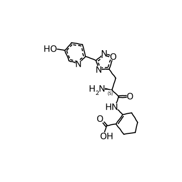 N[C@@H](Cc1nc(-c2ccc(O)cn2)no1)C(=O)NC1=C(C(=O)O)CCCC1